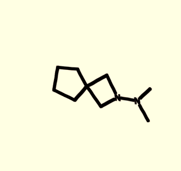 CN(C)N1CC2(CCCC2)C1